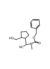 CN(C(=O)OCc1ccccc1)C(C#N)C1CCCC1CO